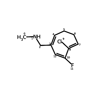 CNCC1=C/CC/C=C(Cl)/C(F)=C\1